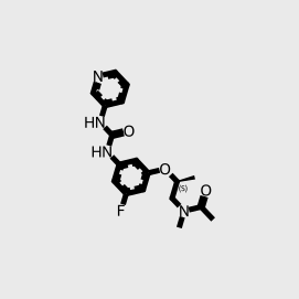 CC(=O)N(C)C[C@H](C)Oc1cc(F)cc(NC(=O)Nc2cccnc2)c1